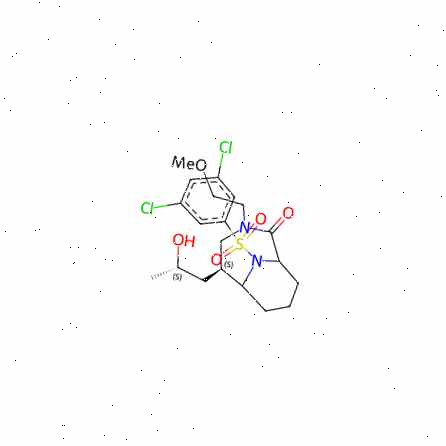 COCCN1C[C@H](C[C@H](C)O)C2CCCC(C1=O)N2S(=O)(=O)c1cc(Cl)cc(Cl)c1